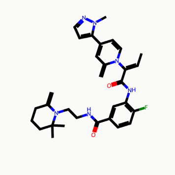 C=C1C=C(c2ccnn2C)C=CN1/C(=C\C)C(=O)Nc1cc(C(=O)NCCN2C(=C)CCCC2(C)C)ccc1F